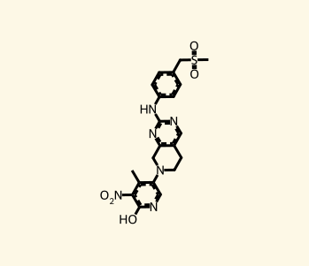 Cc1c(N2CCc3cnc(Nc4ccc(CS(C)(=O)=O)cc4)nc3C2)cnc(O)c1[N+](=O)[O-]